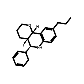 CCCc1ccc2c(c1)[C@H]1OCCC[C@H]1[C@H](C1C=CC=CC1)N2